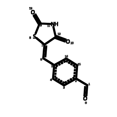 O=Cc1ccc(/C=C2/SC(=O)NC2=O)cc1